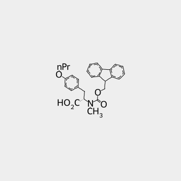 CCCOc1ccc(C[C@@H](C(=O)O)N(C)C(=O)OCC2c3ccccc3-c3ccccc32)cc1